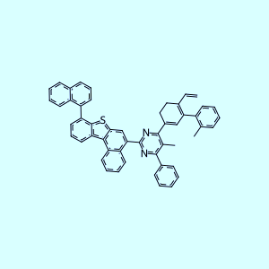 C=CC1=C(c2ccccc2C)C=C(c2nc(-c3cc4sc5c(-c6cccc7ccccc67)cccc5c4c4ccccc34)nc(-c3ccccc3)c2C)CC1